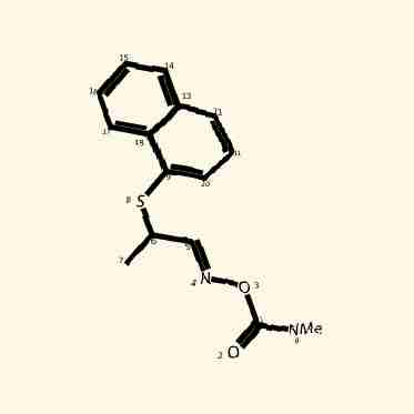 CNC(=O)ON=CC(C)Sc1cccc2ccccc12